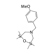 COc1ccc(CN2C[Si](C)(C)O[Si](C)(C)C2)cc1